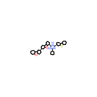 c1ccc(C2N=C(c3ccc4c(c3)sc3ccccc34)NC(c3cccc4c3oc3cc(-c5ccc6oc7ccccc7c6c5)ccc34)N2)cc1